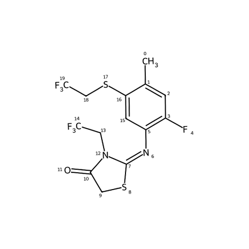 Cc1cc(F)c(N=C2SCC(=O)N2CC(F)(F)F)cc1SCC(F)(F)F